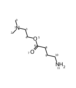 CN(C)CCOC(=O)CCCN